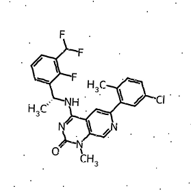 Cc1ccc(Cl)cc1-c1cc2c(N[C@H](C)c3cccc(C(F)F)c3F)nc(=O)n(C)c2cn1